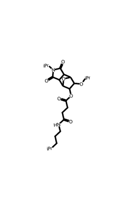 CC(C)CCCNC(=O)CCC(=O)OC1C(OC(C)C)C2OC1C1C(=O)N(C(C)C)C(=O)C21